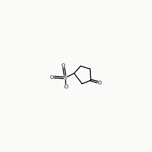 O=C1CCC(S(=O)(=O)Cl)C1